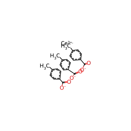 Cc1ccc(C(=O)[O-])cc1.Cc1ccc(C(=O)[O-])cc1.Cc1ccc(C(=O)[O-])cc1.[Ce+3]